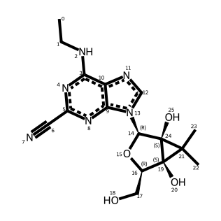 CCNc1nc(C#N)nc2c1ncn2[C@@H]1O[C@H](CO)[C@@]2(O)C(C)(C)[C@@]12O